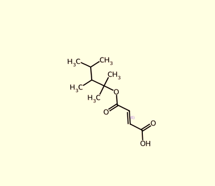 CC(C)C(C)C(C)(C)OC(=O)/C=C/C(=O)O